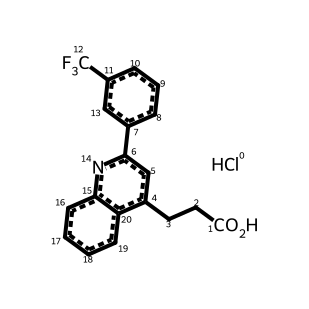 Cl.O=C(O)CCc1cc(-c2cccc(C(F)(F)F)c2)nc2ccccc12